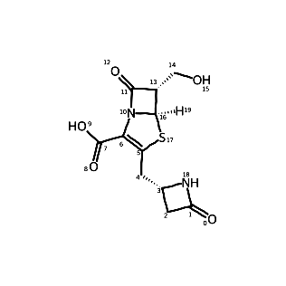 O=C1C[C@H](CC2=C(C(=O)O)N3C(=O)[C@H](CO)[C@H]3S2)N1